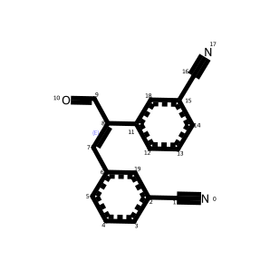 N#Cc1cccc(/C=C(/C=O)c2cccc(C#N)c2)c1